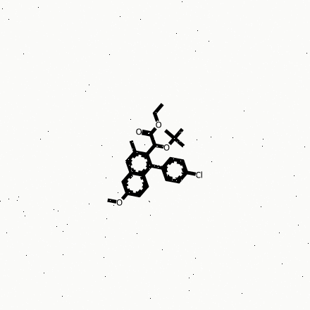 CCOC(=O)C(OC(C)(C)C)c1c(C)cc2cc(OC)ccc2c1-c1ccc(Cl)cc1